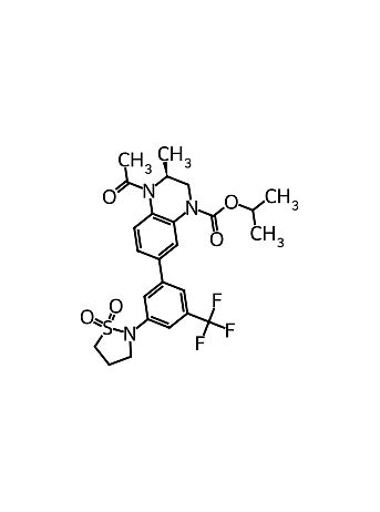 CC(=O)N1c2ccc(-c3cc(N4CCCS4(=O)=O)cc(C(F)(F)F)c3)cc2N(C(=O)OC(C)C)C[C@@H]1C